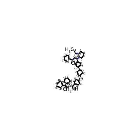 CC\C=c1/cccc/c1=C(/C=C(\C)c1ccccn1)c1ccc(-c2ccc(Oc3ccc(C(=N)NCC(C)(c4ccccc4)c4ccccc4)cc3)cc2)cc1